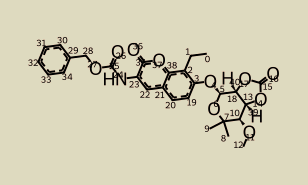 CCc1c(O[C@@H]2OC(C)(C)[C@H](OC)[C@H]3OC(=O)O[C@@H]23)ccc2cc(NC(=O)OCc3ccccc3)c(=O)oc12